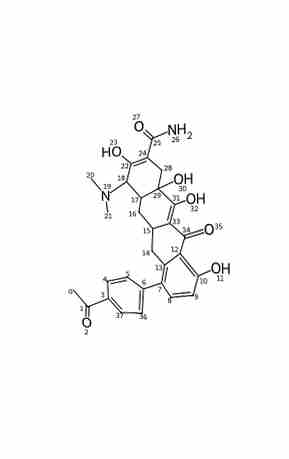 CC(=O)c1ccc(-c2ccc(O)c3c2CC2CC4C(N(C)C)C(O)=C(C(N)=O)CC4(O)C(O)=C2C3=O)cc1